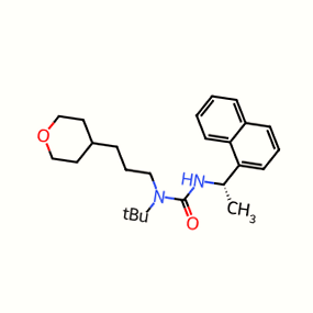 C[C@H](NC(=O)N(CCCC1CCOCC1)C(C)(C)C)c1cccc2ccccc12